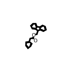 O=C(Cc1ccccc1)OCC1c2ccccc2-c2ccccc21